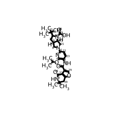 CC(C)Oc1nc(N2C[C@H]3CC(C(C)(C)C)N(C(=O)O)[C@H]3C2)ccc1NC(=O)c1coc2c1C(=O)NC(C)(C)C2